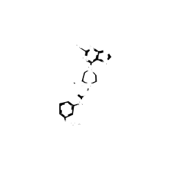 COc1cccc(NC(=O)ON2CCN(c3nc(N)nc4scnc34)C[C@H]2CO)c1